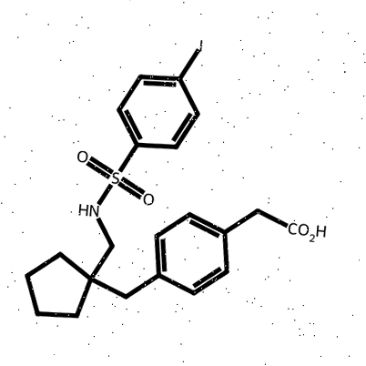 O=C(O)Cc1ccc(CC2(CNS(=O)(=O)c3ccc(I)cc3)CCCC2)cc1